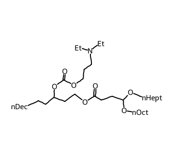 CCCCCCCCCCCCC(CCOC(=O)CCC(OCCCCCCC)OCCCCCCCC)OC(=O)OCCCN(CC)CC